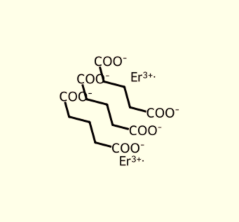 O=C([O-])CCCC(=O)[O-].O=C([O-])CCCC(=O)[O-].O=C([O-])CCCC(=O)[O-].[Er+3].[Er+3]